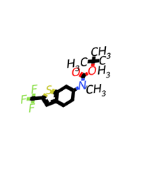 CN(C(=O)OC(C)(C)C)C1CCc2cc(C(F)(F)F)sc2C1